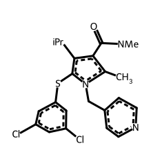 CNC(=O)c1c(C(C)C)c(Sc2cc(Cl)cc(Cl)c2)n(Cc2ccncc2)c1C